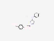 CN(C1=CC=C(Cl)CC1)C1CCN(C(=O)COc2ccc(CO)cc2)C1